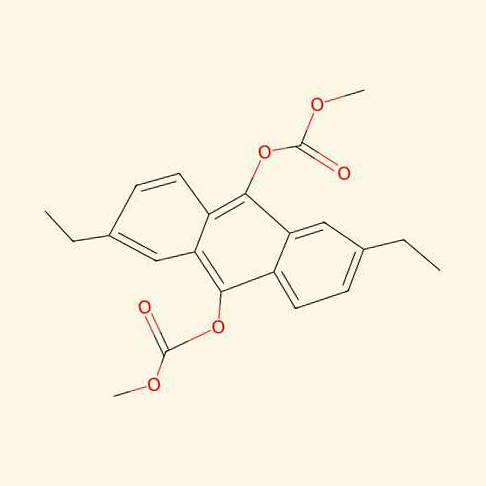 CCc1ccc2c(OC(=O)OC)c3cc(CC)ccc3c(OC(=O)OC)c2c1